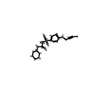 CC#CCOc1ccc(S(=O)(=O)NC(=O)OC2CCCCC2)cc1